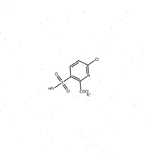 CCCS(=O)(=O)c1ccc(Cl)nc1C(=O)[O-].[K+]